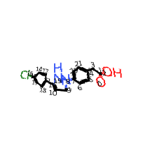 O=C(O)Cc1ccc(N2CC=C(c3ccc(Cl)cc3)N2)cc1